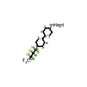 CCCCCCC[C@H]1CC[C@H]([C@H]2CC[C@H](C(F)(F)C(F)(F)C(F)(F)C(F)(F)F)CC2)CC1